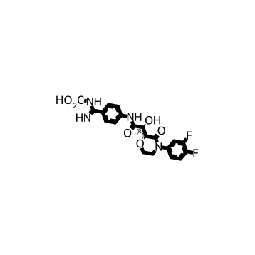 N=C(NC(=O)O)c1ccc(NC(=O)[C@H](O)[C@H]2OCCN(c3ccc(F)c(F)c3)C2=O)cc1